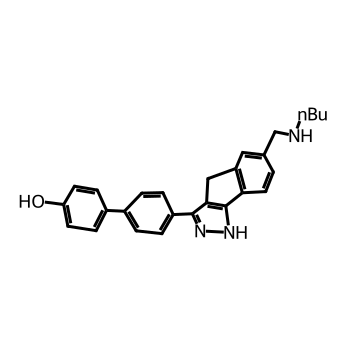 CCCCNCc1ccc2c(c1)Cc1c(-c3ccc(-c4ccc(O)cc4)cc3)n[nH]c1-2